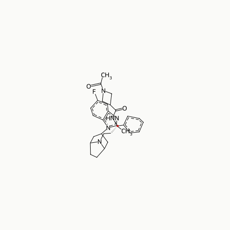 CC(=O)N1CC(C(=O)N[C@@H](CCN2C3CCC2CC(n2c(C)nc4cc(F)ccc42)C3)c2ccccc2)C1